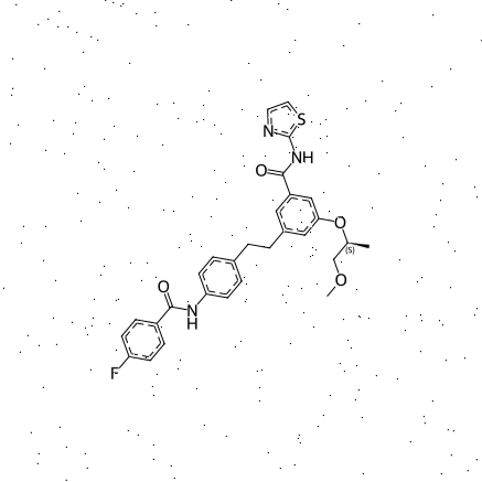 COC[C@H](C)Oc1cc(CCc2ccc(NC(=O)c3ccc(F)cc3)cc2)cc(C(=O)Nc2nccs2)c1